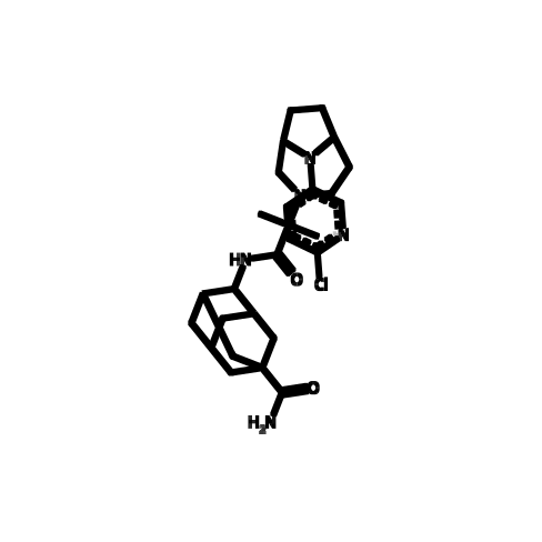 CC(C)(C(=O)NC1C2CC3CC1CC(C(N)=O)(C3)C2)N1CCC2CCC(C1)N2c1ccc(Cl)nc1